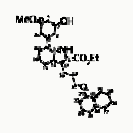 CCOC(=O)c1[nH]c2c(-c3cc(O)cc(OC)c3)cccc2c1CCCOc1cccc2ccccc12